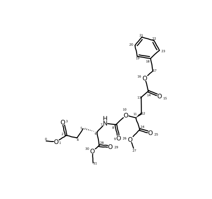 COC(=O)CC[C@H](NC(=O)O[C@@H](CCC(=O)OCc1ccccc1)C(=O)OC)C(=O)OC